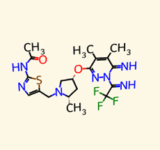 CC(=O)Nc1ncc(CN2C[C@H](Oc3nn(C(=N)C(F)(F)F)c(=N)c(C)c3C)C[C@@H]2C)s1